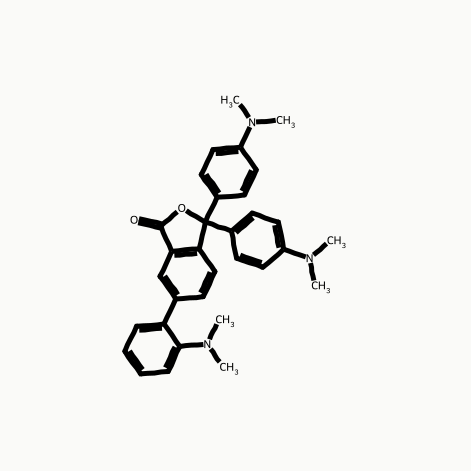 CN(C)c1ccc(C2(c3ccc(N(C)C)cc3)OC(=O)c3cc(-c4ccccc4N(C)C)ccc32)cc1